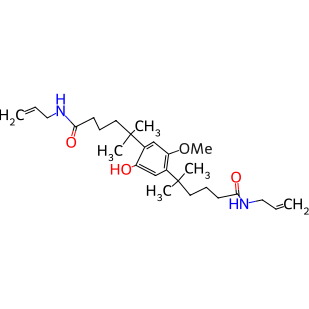 C=CCNC(=O)CCCC(C)(C)c1cc(OC)c(C(C)(C)CCCC(=O)NCC=C)cc1O